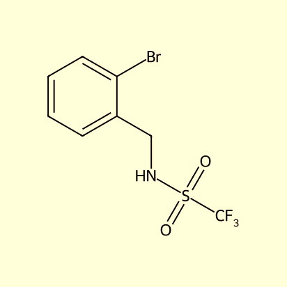 O=S(=O)(NCc1ccccc1Br)C(F)(F)F